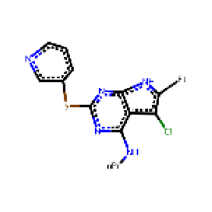 CCCNc1nc(Sc2cccnc2)nc2[nH]c(CC)c(Cl)c12